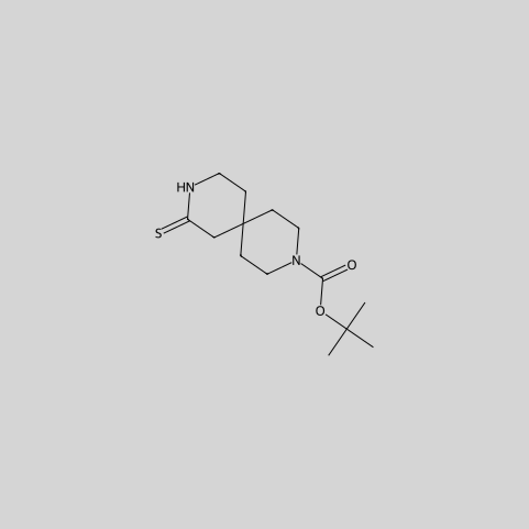 CC(C)(C)OC(=O)N1CCC2(CCNC(=S)C2)CC1